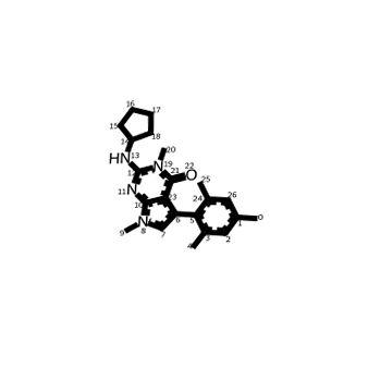 Cc1cc(C)c(-c2cn(C)c3nc(NC4CCCC4)n(C)c(=O)c23)c(C)c1